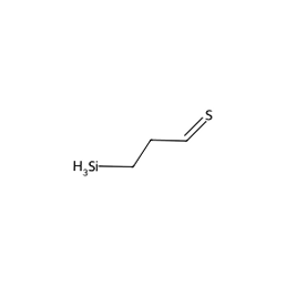 [SiH3]CCC=S